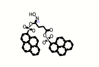 O=C(CC/C(=N/O)OS(=O)(=O)c1ccc2ccc3cccc4ccc1c2c34)OS(=O)(=O)c1ccc2ccc3cccc4ccc1c2c34